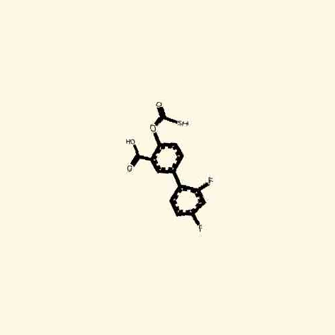 O=C(S)Oc1ccc(-c2ccc(F)cc2F)cc1C(=O)O